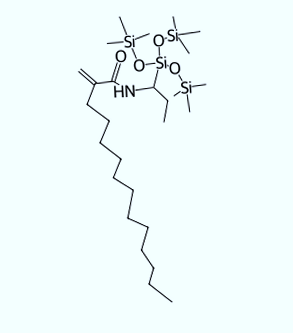 C=C(CCCCCCCCCCCC)C(=O)NC(CC)[Si](O[Si](C)(C)C)(O[Si](C)(C)C)O[Si](C)(C)C